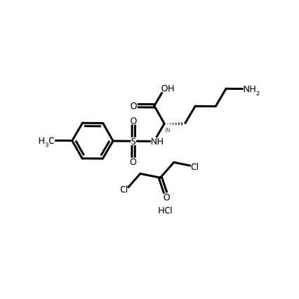 Cc1ccc(S(=O)(=O)N[C@@H](CCCCN)C(=O)O)cc1.Cl.O=C(CCl)CCl